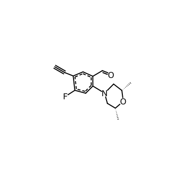 C#Cc1cc(C=O)c(N2C[C@@H](C)O[C@@H](C)C2)cc1F